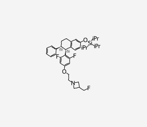 CC(C)[Si](Oc1ccc2c(c1)CC[C@H](c1ccccc1)[C@@H]2c1c(F)cc(OCCN2CC(CF)C2)cc1F)(C(C)C)C(C)C